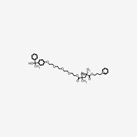 CC(C)(CC(C)(Br)C(=O)OCCC[n+]1ccccc1)C(=O)OCCOCCOCCOCCOc1ccc(C(C)(O)c2ccccc2)cc1